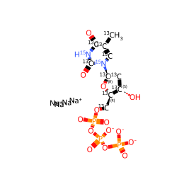 [13CH3][13c]1[13cH][15n]([13C@H]2[13CH2][13C@H](O)[13C@@H]([13CH2]OP(=O)([O-])OP(=O)([O-])OP(=O)([O-])[O-])O2)[13c](=O)[15nH][13c]1=O.[Na+].[Na+].[Na+].[Na+]